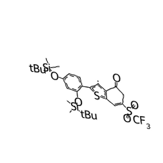 CC(C)(C)[Si](C)(C)Oc1ccc(-c2[c]c3c(s2)C=C(S(=O)(=O)C(F)(F)F)CC3=O)c(O[Si](C)(C)C(C)(C)C)c1